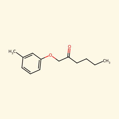 CCCCC(=O)COc1cccc(C)c1